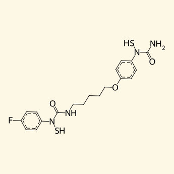 NC(=O)N(S)c1ccc(OCCCCCNC(=O)N(S)c2ccc(F)cc2)cc1